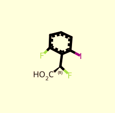 O=C(O)[C@H](F)c1c(F)cccc1I